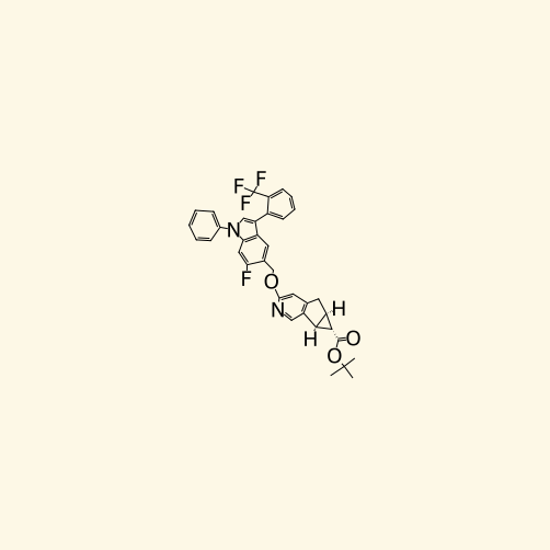 CC(C)(C)OC(=O)[C@H]1[C@@H]2Cc3cc(OCc4cc5c(-c6ccccc6C(F)(F)F)cn(-c6ccccc6)c5cc4F)ncc3[C@@H]21